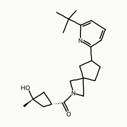 CC(C)(C)c1cccc(C2CCC3(C2)CN(C(=O)[C@H]2C[C@@](C)(O)C2)C3)n1